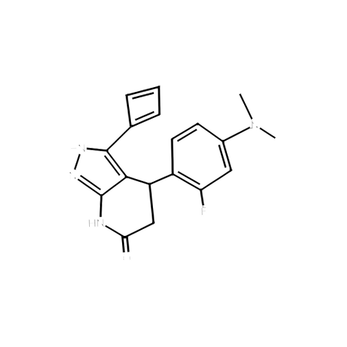 CN(C)c1ccc(C2CC(=O)Nc3n[nH]c(C4=CC=C4)c32)c(F)c1